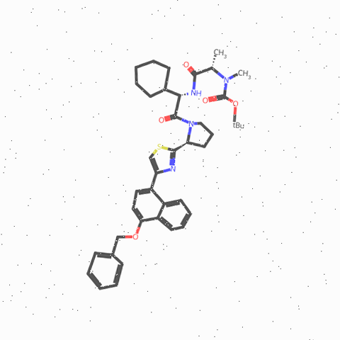 C[C@@H](C(=O)N[C@H](C(=O)N1CCC[C@H]1c1nc(-c2ccc(OCc3ccccc3)c3ccccc23)cs1)C1CCCCC1)N(C)C(=O)OC(C)(C)C